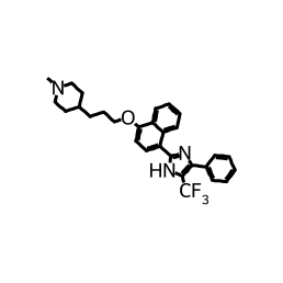 CN1CCC(CCCOc2ccc(-c3nc(-c4ccccc4)c(C(F)(F)F)[nH]3)c3ccccc23)CC1